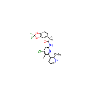 COc1ncccc1-c1nc(NC(=O)C2(c3ccc4c(c3)OC(F)(F)O4)CC2)cc(Cl)c1C